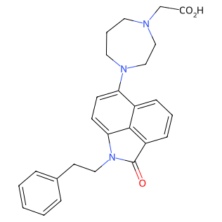 O=C(O)CN1CCCN(c2ccc3c4c(cccc24)C(=O)N3CCc2ccccc2)CC1